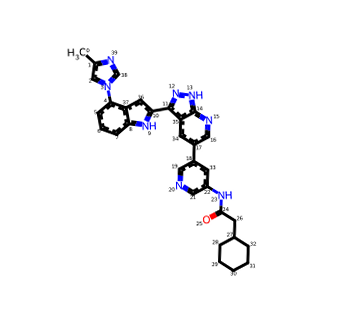 Cc1cn(-c2cccc3[nH]c(-c4n[nH]c5ncc(-c6cncc(NC(=O)CC7CCCCC7)c6)cc45)cc23)cn1